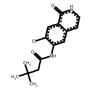 CC(C)(C)CC(=O)Nc1cc2cc[nH]c(=O)c2cc1Cl